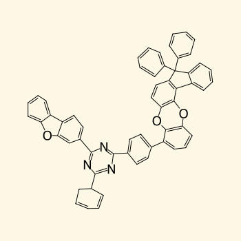 C1=CCC(c2nc(-c3ccc(-c4cccc5c4Oc4ccc6c(c4O5)-c4ccccc4C6(c4ccccc4)c4ccccc4)cc3)nc(-c3ccc4c(c3)oc3ccccc34)n2)C=C1